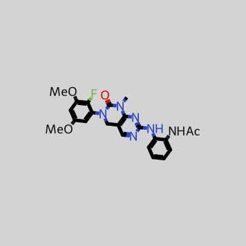 COc1cc(OC)c(F)c(N2Cc3cnc(Nc4ccccc4NC(C)=O)nc3N(C)C2=O)c1